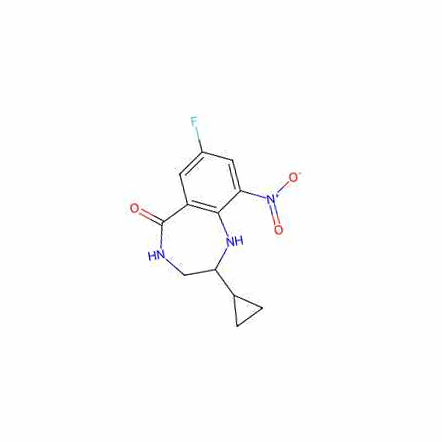 O=C1NCC(C2CC2)Nc2c1cc(F)cc2[N+](=O)[O-]